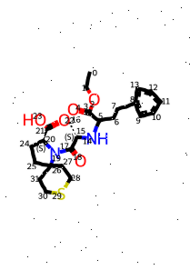 CCOC(=O)C(CCc1ccccc1)N[C@@H](C)C(=O)N1[C@H](C(=O)O)CCC12CCSCC2